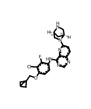 Fc1c(Nc2ncnc3ccc(N4C[C@@H]5C[C@H]4CN5)nc23)ccc(OCC23CC(C2)C3)c1Cl